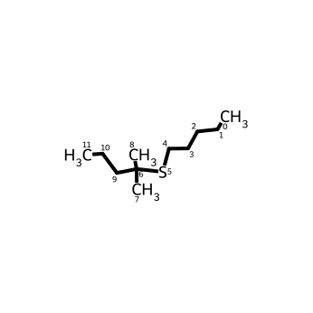 CCCCCSC(C)(C)CCC